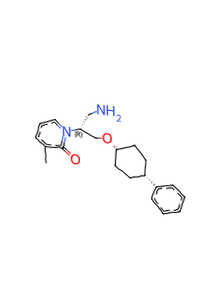 Cc1cccn([C@H](CN)CO[C@H]2CC[C@@H](c3ccccc3)CC2)c1=O